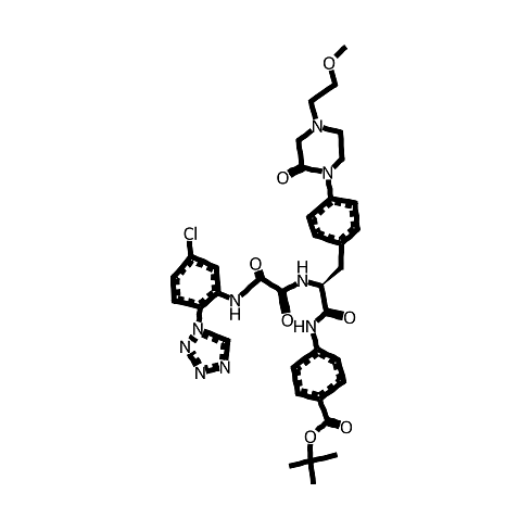 COCCN1CCN(c2ccc(C[C@H](NC(=O)C(=O)Nc3cc(Cl)ccc3-n3cnnn3)C(=O)Nc3ccc(C(=O)OC(C)(C)C)cc3)cc2)C(=O)C1